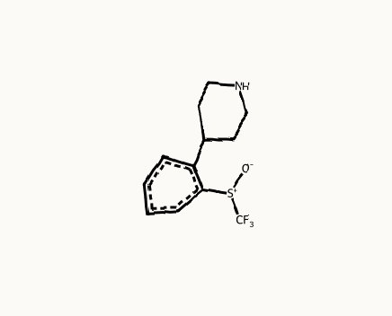 [O-][S+](c1ccccc1C1CCNCC1)C(F)(F)F